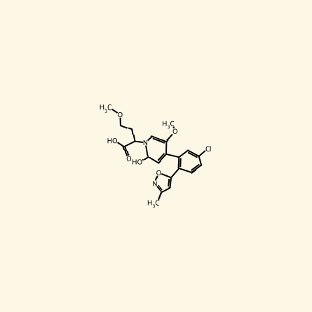 COCCC(C(=O)O)N1C=C(OC)C(c2cc(Cl)ccc2-c2cc(C)no2)=CC1O